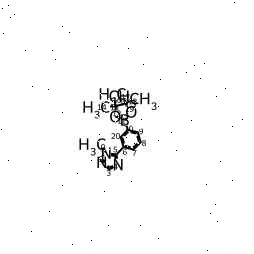 Cn1ncnc1-c1cccc(B2OC(C)(C)C(C)(C)O2)c1